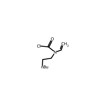 C=CN(CCCCCC)C(=O)Cl